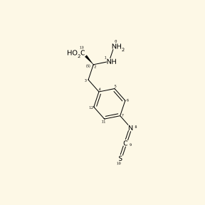 NN[C@@H](Cc1ccc(N=C=S)cc1)C(=O)O